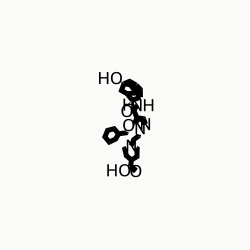 O=C(N[C@H]1C2CC3CC1C[C@](O)(C3)C2)c1cnn(CCN2CCC(C(=O)O)CC2)c1OCC1CCCCC1